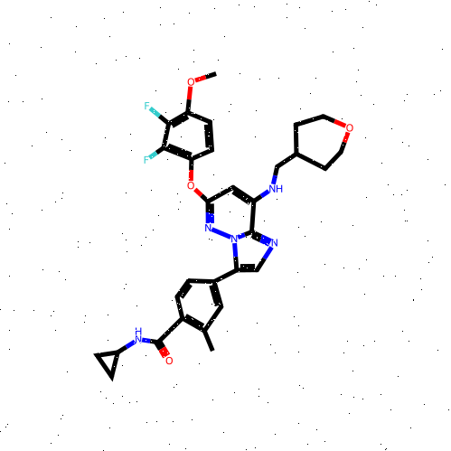 COc1ccc(Oc2cc(NCC3CCOCC3)c3ncc(-c4ccc(C(=O)NC5CC5)c(C)c4)n3n2)c(F)c1F